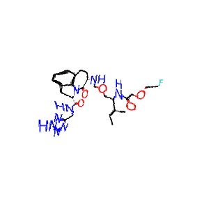 CC[C@H](C)[C@@H](COCN[C@H]1CCc2cccc3c2N(C1=O)[C@H](C(=O)NCc1nn[nH]n1)C3)NC(=O)COCCF